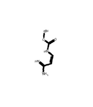 CC(C)(C)OC(=O)N/C=C\C(=N)N